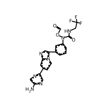 Nc1cnc(-c2ccn3c(-c4cccc(N(OC=O)C(=O)NCC(F)(F)F)c4)cnc3c2)cn1